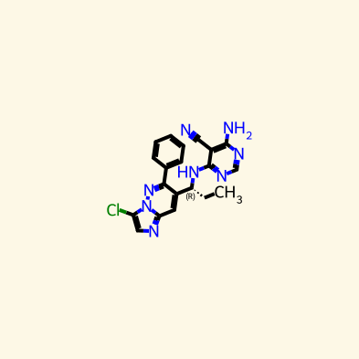 CC[C@@H](Nc1ncnc(N)c1C#N)c1cc2ncc(Cl)n2nc1-c1ccccc1